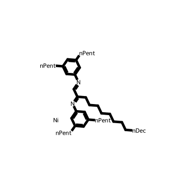 CCCCCCCCCCCCCCCCCCC(/C=N/c1cc(CCCCC)cc(CCCCC)c1)=N\c1cc(CCCCC)cc(CCCCC)c1.[Ni]